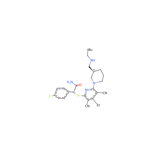 CCc1c(C#N)c(SC(C(N)=O)c2ccc(F)cc2)nc(N2CCC[C@H](CNCC(C)(C)C)C2)c1C#N